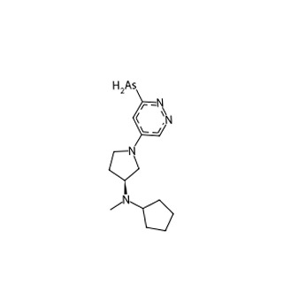 CN(C1CCCC1)[C@H]1CCN(c2cnnc([AsH2])c2)C1